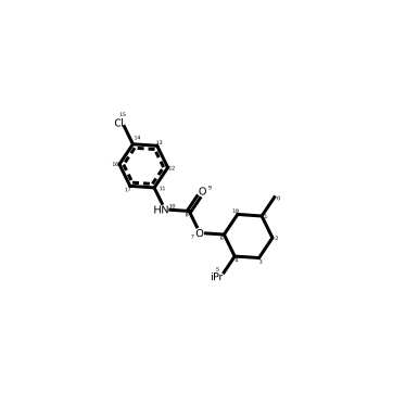 CC1CCC(C(C)C)C(OC(=O)Nc2ccc(Cl)cc2)C1